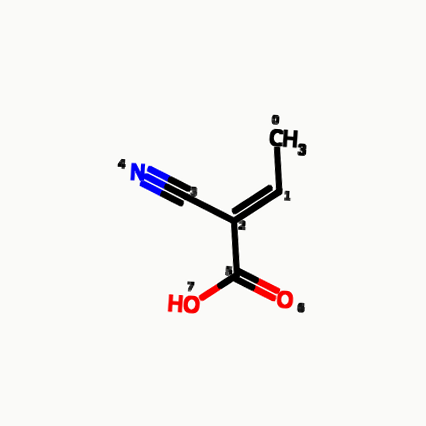 C/C=C(\C#N)C(=O)O